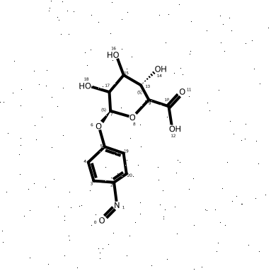 O=Nc1ccc(O[C@@H]2OC(C(=O)O)[C@@H](O)C(O)C2O)cc1